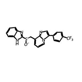 [O-][S+](Cc1cccn2c(-c3ccc(C(F)(F)F)cc3)cnc12)c1nc2ccccc2[nH]1